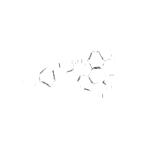 C=C(OCC)c1c(C)nc2sc(C(=O)c3ccc(OC)cc3)c(N)c2c1-c1ccc2c(c1)OCO2